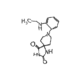 CCNc1ccccc1N1CCC2(CC1)NC(=O)NC2=O